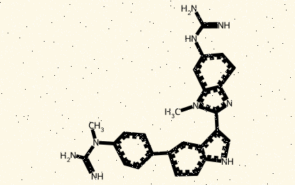 CN(C(=N)N)c1ccc(-c2ccc3[nH]cc(-c4nc5ccc(NC(=N)N)cc5n4C)c3c2)cc1